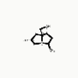 CC1CC[C@@]2(CO)C[C@@H](F)CN12